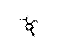 N#Cc1cnc(C(=O)O)c(N)c1